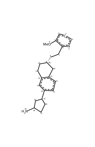 COc1cccnc1CC[C@H]1CCc2cc(C3CCC(N)C3)ccc2C1